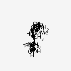 COc1cccc(Nc2c(C(N)=O)cnc3c(C)cc(S(=O)(=O)c4cccc(C(=O)Nc5ccc(C#CCCCNC[C@H](O[Si](C)(C)C(C)(C)C)c6ccc(O)c7c6OCC(=O)N7)c(C)c5)c4)cc23)c1